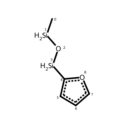 C[SiH2]O[SiH2]c1ccco1